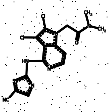 CN(C)C(=O)Cn1c(Cl)c(Cl)c2c(Nc3ncc(C#N)s3)nccc21